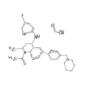 CC(=O)N1c2ccc(-c3ccc(CN4CCCCC4)cc3)cc2C(Nc2ccc(F)cn2)CC1C.O=CO